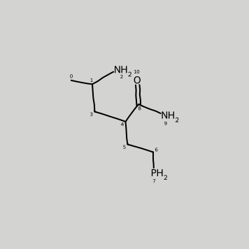 CC(N)CC(CCP)C(N)=O